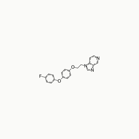 Fc1ccc(Oc2ccc(OCCn3cnc4cnccc43)cc2)cc1